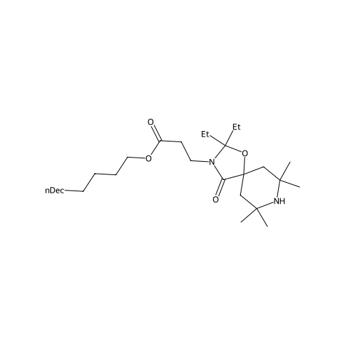 CCCCCCCCCCCCCCOC(=O)CCN1C(=O)C2(CC(C)(C)NC(C)(C)C2)OC1(CC)CC